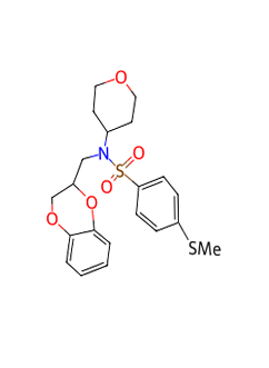 CSc1ccc(S(=O)(=O)N(CC2COc3ccccc3O2)C2CCOCC2)cc1